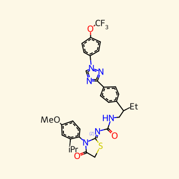 CCC(CNC(=O)/N=C1\SCC(=O)N1c1ccc(OC)cc1C(C)C)c1ccc(-c2ncn(-c3ccc(OC(F)(F)F)cc3)n2)cc1